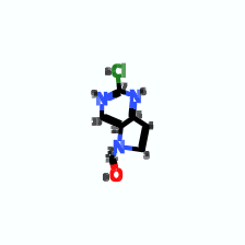 O=[C]n1ccc2nc(Cl)ncc21